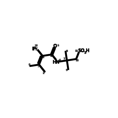 CC(C)=C(C(=O)NC(C)(C)CS(=O)(=O)O)C(C)C